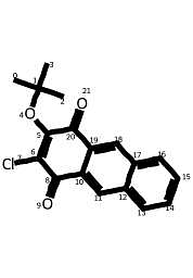 CC(C)(C)OC1=C(Cl)C(=O)c2cc3ccccc3cc2C1=O